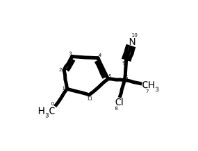 CC1C=CC=C(C(C)(Cl)C#N)C1